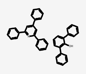 Oc1c(-c2ccccc2)cccc1-c1ccccc1.c1ccc(-c2cc(-c3ccccc3)nc(-c3ccccc3)c2)cc1